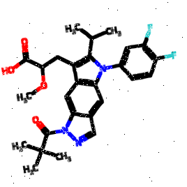 COC(Cc1c(C(C)C)n(-c2ccc(F)c(F)c2)c2cc3cnn(C(=O)C(C)(C)C)c3cc12)C(=O)O